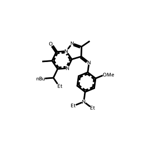 CCCCC(CC)c1nc2n(c(=O)c1C)N=C(C)C2=Nc1ccc(N(CC)CC)cc1OC